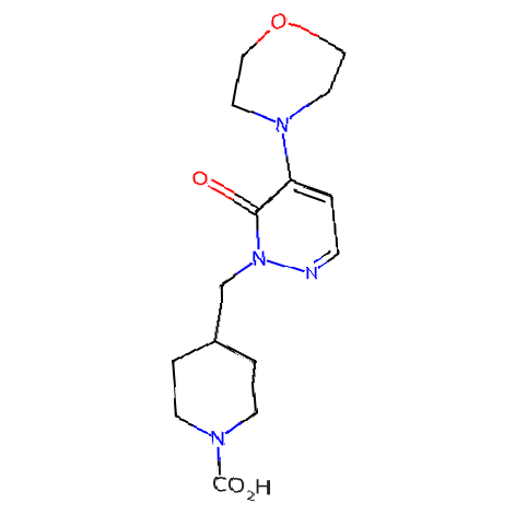 O=C(O)N1CCC(Cn2nccc(N3CCOCC3)c2=O)CC1